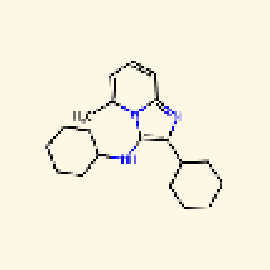 Cc1cccc2nc(C3CCCCC3)c(NC3CCCCC3)n12